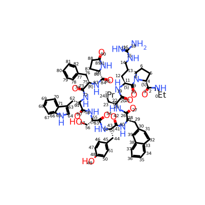 CCNC(=O)[C@@H]1CCCN1C(=O)[C@H](CCCNC(=N)N)NC(=O)[C@H](CC(C)C)NC(=O)[C@@H](Cc1ccc2ccccc2c1)NC(=O)[C@H](Cc1ccc(O)cc1)NC(=O)[C@H](CO)NC(=O)[C@H](Cc1c[nH]c2ccccc12)NC(=O)[C@@H](Cc1ccccc1)NC(=O)[C@@H]1CCC(=O)N1